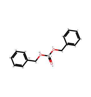 O=[Si](OCc1ccccc1)OCc1ccccc1